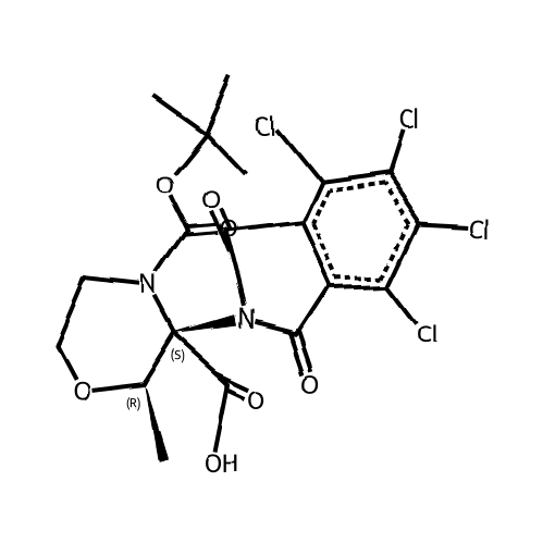 C[C@H]1OCCN(C(=O)OC(C)(C)C)[C@@]1(C(=O)O)N1C(=O)c2c(Cl)c(Cl)c(Cl)c(Cl)c2C1=O